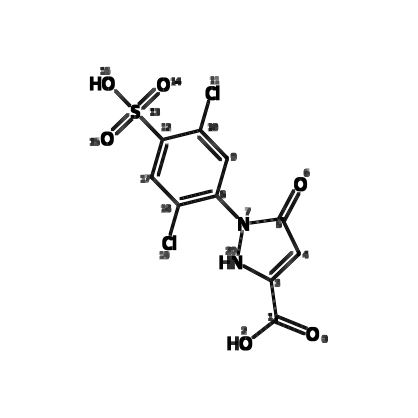 O=C(O)c1cc(=O)n(-c2cc(Cl)c(S(=O)(=O)O)cc2Cl)[nH]1